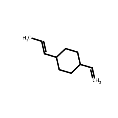 C=CC1CCC(C=CC)CC1